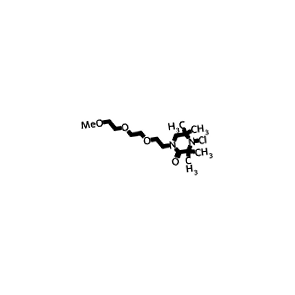 COCCOCCOCCN1CC(C)(C)N(Cl)C(C)(C)C1=O